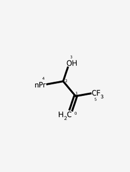 C=C(C(O)CCC)C(F)(F)F